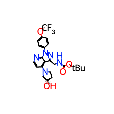 CC(C)(C)OC(=O)NCc1nn(-c2ccc(OC(F)(F)F)cc2)c2nccc(N3CC[C@@H](O)C3)c12